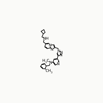 CC1C=CC=CC1CN(C)c1cncc(-c2cn(Cc3cn4cc(CNCC5CCC5)ccc4n3)nn2)c1